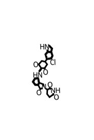 O=C1CCC(N2Cc3c(NC=C4C(=O)CC(c5cc6[nH]ccc6cc5Cl)CC4=O)cccc3C2=O)C(=O)N1